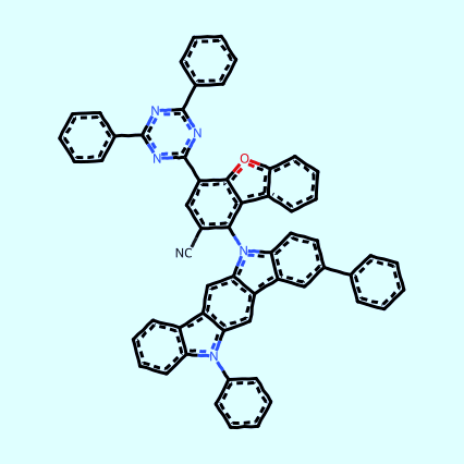 N#Cc1cc(-c2nc(-c3ccccc3)nc(-c3ccccc3)n2)c2oc3ccccc3c2c1-n1c2ccc(-c3ccccc3)cc2c2cc3c(cc21)c1ccccc1n3-c1ccccc1